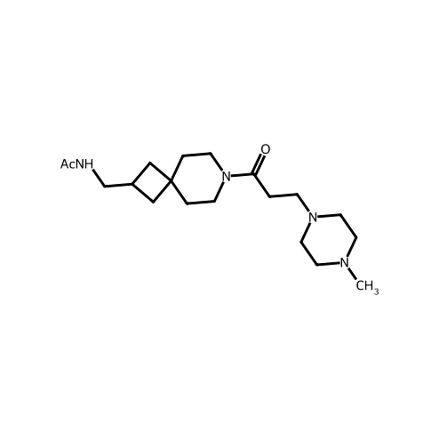 CC(=O)NCC1CC2(CCN(C(=O)CCN3CCN(C)CC3)CC2)C1